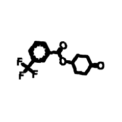 O=C1CCC(OC(=O)c2cccc(C(F)(F)F)c2)CC1